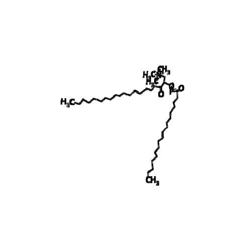 CCCCCCCCC=CCCCCCCCC(=O)[P-]OC(C[N+](C)(C)C)C(=O)CCCCCCCCCCCCCCCCC